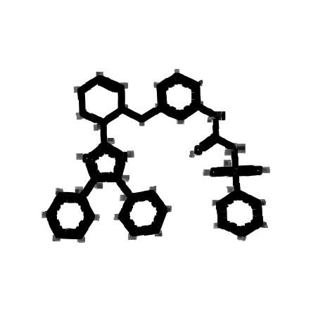 O=C(Nc1cccc(CC2C=CCCC2c2nc(-c3ccccc3)c(-c3ccccc3)o2)c1)NS(=O)(=O)c1ccccc1